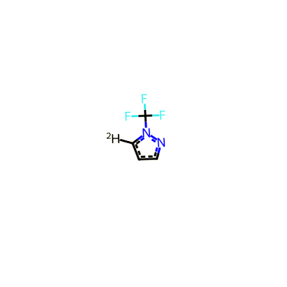 [2H]c1ccnn1C(F)(F)F